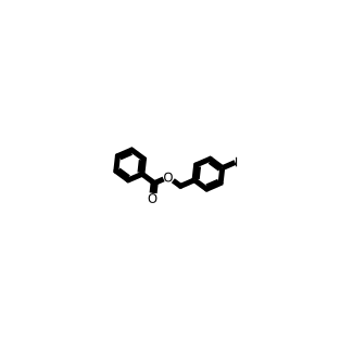 O=C(OCc1ccc(I)cc1)c1ccccc1